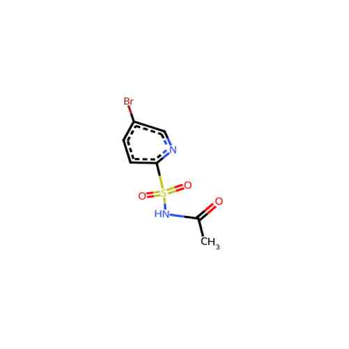 CC(=O)NS(=O)(=O)c1ccc(Br)cn1